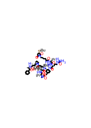 CCC(C)SC1CC(=O)N(CCCCCC(=O)N[C@H](C(=O)N[C@@H](CCCNC(N)=O)C(=O)Nc2ccc(COC(=O)N(C)[C@H](C(=O)N[C@H](C(=O)N(C)[C@@H]([C@@H](C)CC)[C@@H](CC(=O)N3CCC[C@H]3[C@H](OC)[C@@H](C)C(=O)N[C@H](C)[C@@H](O)c3ccccc3)OC)C(C)C)C(C)C)cc2)C(C)C)C1=O